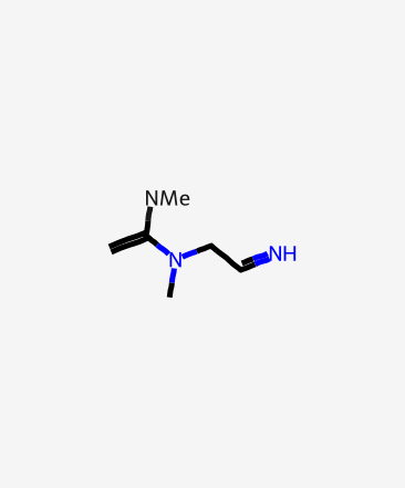 C=C(NC)N(C)CC=N